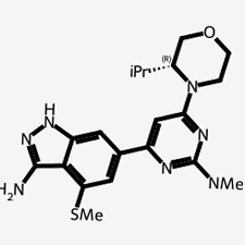 CNc1nc(-c2cc(SC)c3c(N)n[nH]c3c2)cc(N2CCOC[C@H]2C(C)C)n1